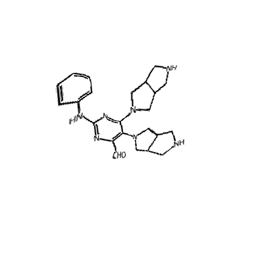 O=Cc1nc(Nc2ccccc2)nc(N2CC3CNCC3C2)c1N1CC2CNCC2C1